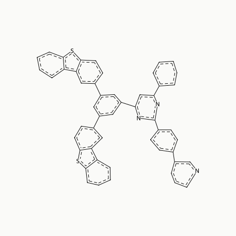 c1ccc(-c2cc(-c3cc(-c4ccc5sc6ccccc6c5c4)cc(-c4ccc5sc6ccccc6c5c4)c3)nc(-c3ccc(-c4cccnc4)cc3)n2)cc1